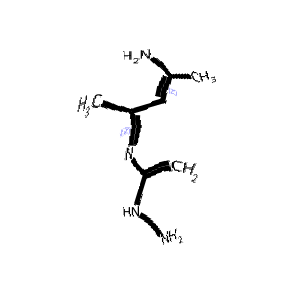 C=C(/N=C(C)\C=C(\C)N)NN